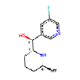 CCC[C@H]1CCC[C@H]([C@@H](O)c2cncc(F)c2)N1